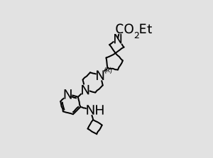 CCOC(=O)N1CC2(CC[C@@H](N3CCN(c4ncccc4NC4CCC4)CC3)C2)C1